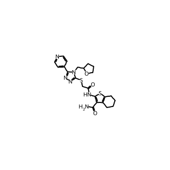 NC(=O)c1c(NC(=O)CSc2nnc(-c3ccncc3)n2CC2CCCO2)sc2c1CCCC2